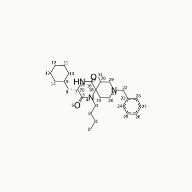 CCCCN1C(=O)[C@H](CC2CCCCC2)NC(=O)C12CCN(Cc1ccccc1)CC2C